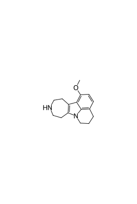 COc1ccc2c3c1c1c(n3CCC2)CCNCC1